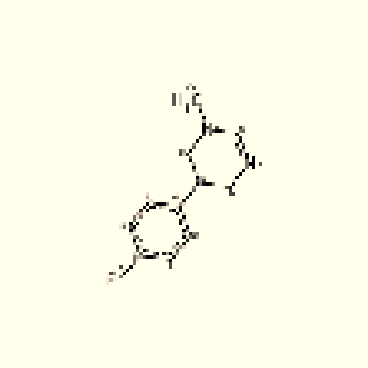 CC(C)c1ccc(C2CN=CN(C)C2)cc1